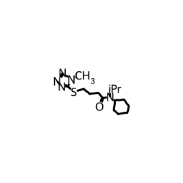 CC(C)N(C(=O)CCCSc1nnnn1C)C1CCCCC1